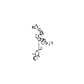 Cc1cc(OCCCc2c(C(=O)O)[nH]c3c(-c4c(COc5cccnc5)nn(C)c4C)cccc23)cc(C)c1Cl